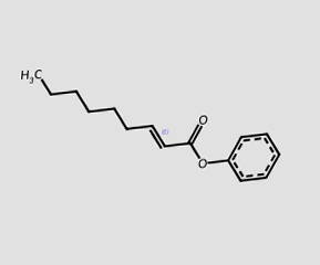 CCCCCC/C=C/C(=O)Oc1ccccc1